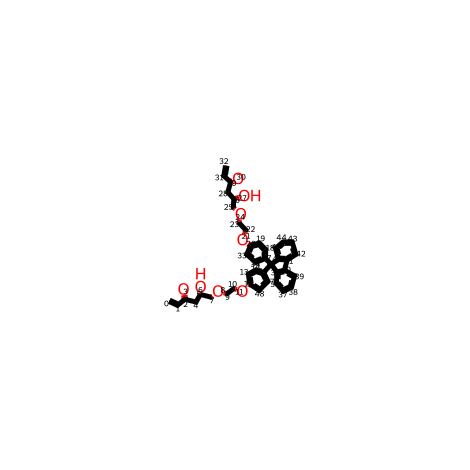 C=CC(=O)CC(O)COCCOc1ccc(C2(c3ccc(OCCOCC(O)CC(=O)C=C)cc3)c3ccccc3-c3ccccc32)cc1